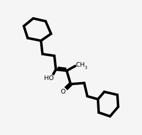 C/C(C(=O)CCC1CCCCC1)=C(/O)CCC1CCCCC1